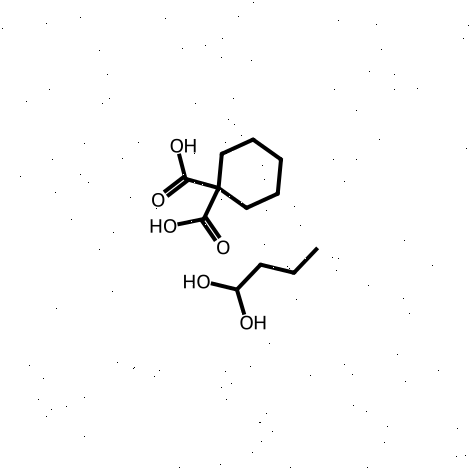 CCCC(O)O.O=C(O)C1(C(=O)O)CCCCC1